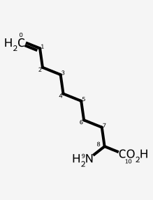 C=CCCCCCCC(N)C(=O)O